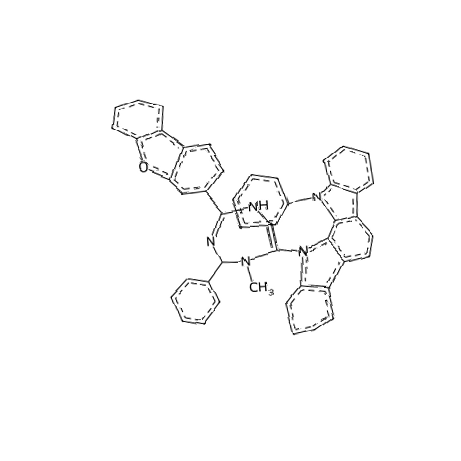 CN1C(n2c3ccccc3c3ccc4c5ccccc5n(-c5ccccc5)c4c32)=CNC(c2ccc3c(c2)oc2ccccc23)=NC1c1ccccc1